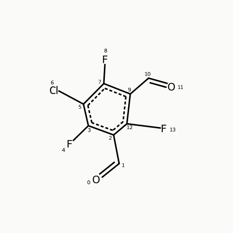 O=Cc1c(F)c(Cl)c(F)c(C=O)c1F